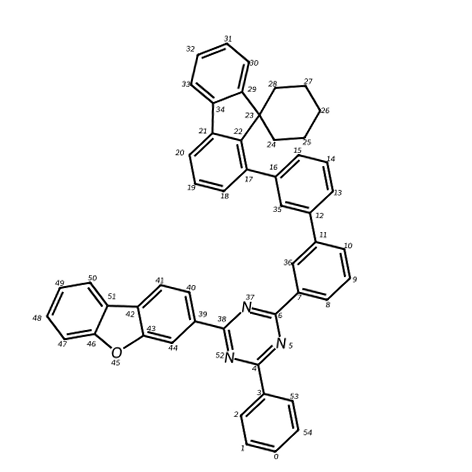 c1ccc(-c2nc(-c3cccc(-c4cccc(-c5cccc6c5C5(CCCCC5)c5ccccc5-6)c4)c3)nc(-c3ccc4c(c3)oc3ccccc34)n2)cc1